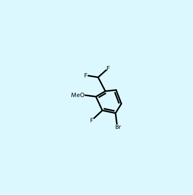 COc1c(C(F)F)ccc(Br)c1F